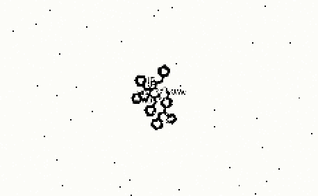 COC(=O)c1ccc(C(Cc2ccccc2)c2cccs2)cc1[C@@H]1O[C@H](C(O)Cc2ccccc2)[C@](O)(Cc2ccccc2)[C@@](O)(Cc2ccccc2)[C@]1(O)Cc1ccccc1